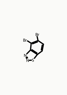 Brc1ccc2snnc2c1Br